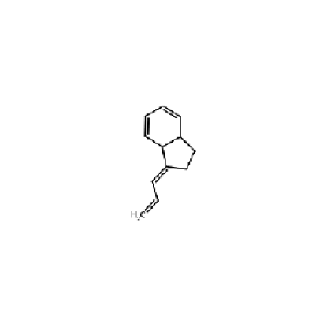 C=CC=C1CCC2C=CC=CC12